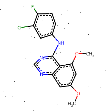 COc1cc(OC)c2c(Nc3ccc(F)c(Cl)c3)ncnc2c1